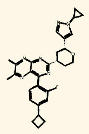 Cc1nc2nc([C@H]3CCO[C@@H](c4cnn(C5CC5)c4)C3)nc(-c3ccc(C4CCC4)cc3F)c2nc1C